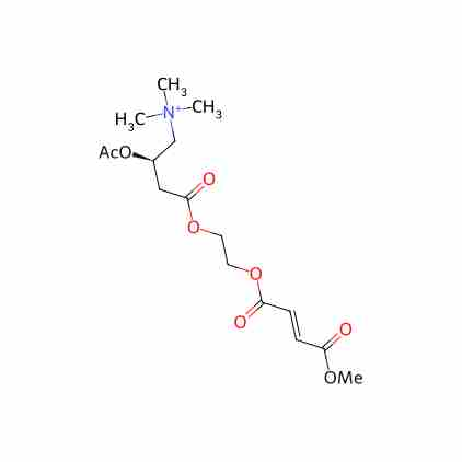 COC(=O)/C=C/C(=O)OCCOC(=O)C[C@H](C[N+](C)(C)C)OC(C)=O